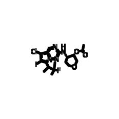 CC(=O)O[C@@H]1COCC[C@H]1Nc1ncc2c(Cl)c(I)c(C(C)C(C)(C)F)n2n1